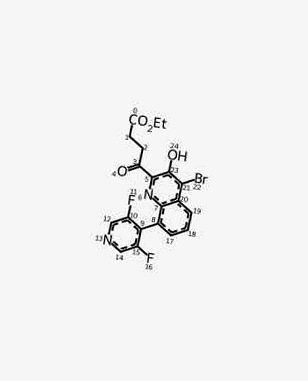 CCOC(=O)CCC(=O)c1nc2c(-c3c(F)cncc3F)cccc2c(Br)c1O